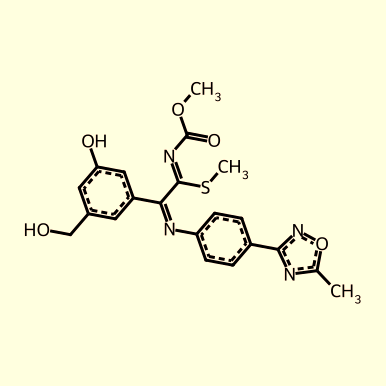 COC(=O)N=C(SC)C(=Nc1ccc(-c2noc(C)n2)cc1)c1cc(O)cc(CO)c1